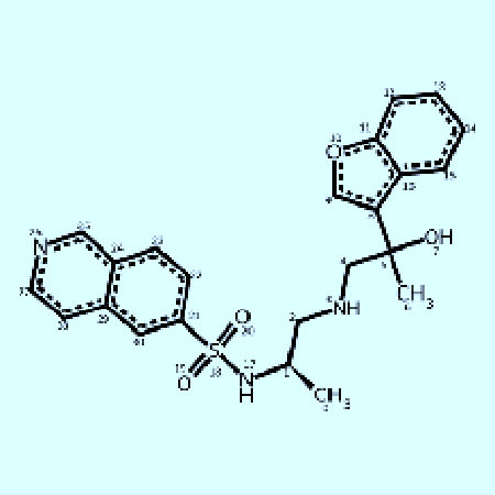 C[C@H](CNCC(C)(O)c1coc2ccccc12)NS(=O)(=O)c1ccc2cnccc2c1